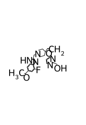 C=CC1(Oc2ccnc(CO)n2)CCN(Cc2nc3c(F)cc(C(C)=O)cc3[nH]2)CC1